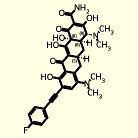 CN(C)c1cc(C#Cc2ccc(F)cc2)c(O)c2c1C[C@@H]1C[C@@H]3[C@@H](N(C)C)C(O)=C(C(N)=O)C(=O)[C@]3(O)C(O)=C1C2=O